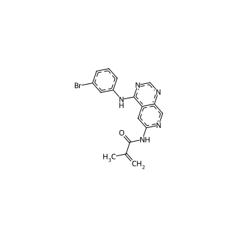 C=C(C)C(=O)Nc1cc2c(Nc3cccc(Br)c3)ncnc2cn1